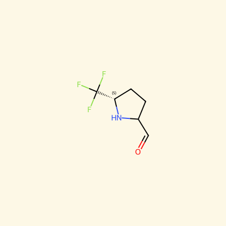 O=CC1CC[C@@H](C(F)(F)F)N1